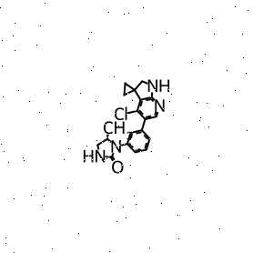 C[C@@H]1CNC(=O)N1c1cccc(-c2cnc3c(c2Cl)C2(CC2)CN3)c1